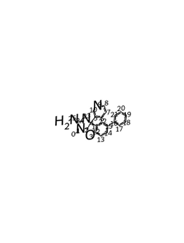 CN1C(=O)C(c2cccnc2)(c2cccc(-c3ccccc3)c2)N=C1N